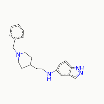 c1ccc(CN2CCC(CCNc3ccc4[nH]ncc4c3)CC2)cc1